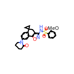 COc1ccccc1S(=O)(=O)Nc1noc2c1CC1(CC1)c1ccc(N3CCCCC3=O)cc1-2